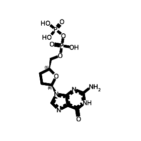 Nc1nc2c(ncn2[C@H]2CC[C@@H](COP(=O)(O)OP(=O)(O)O)O2)c(=O)[nH]1